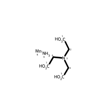 N.O=C(O)CN(CC(=O)O)CC(=O)O.[Mn]